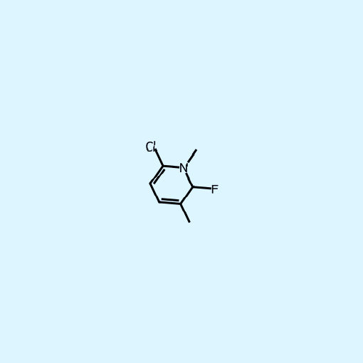 CC1=CC=C(Cl)N(C)C1F